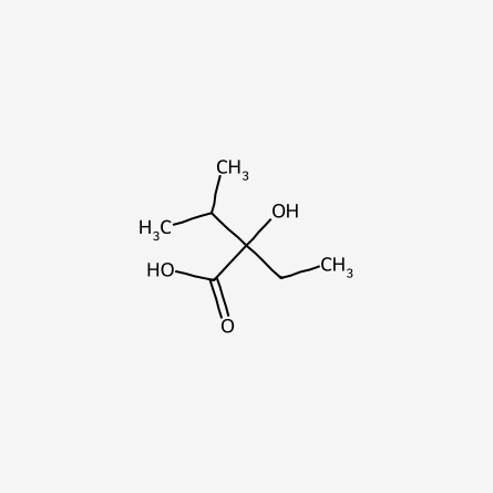 CCC(O)(C(=O)O)C(C)C